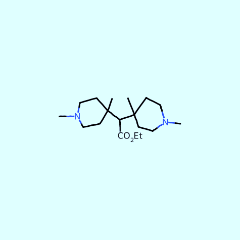 CCOC(=O)C(C1(C)CCN(C)CC1)C1(C)CCN(C)CC1